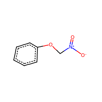 O=[N+]([O-])COc1ccccc1